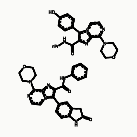 CCCNC(=O)c1nc2c(N3CCOCC3)nccn2c1-c1ccc(O)cc1.O=C1Cc2cc(-c3c(C(=O)Nc4ccccc4)nc4c(N5CCOCC5)nccn34)ccc2N1